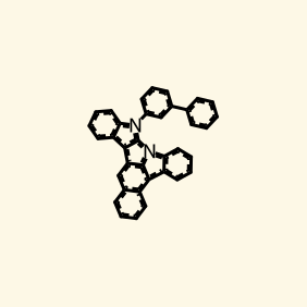 c1ccc(-c2cccc(-n3c4ccccc4c4c5cc6ccccc6c6c7ccccc7n(c56)c43)c2)cc1